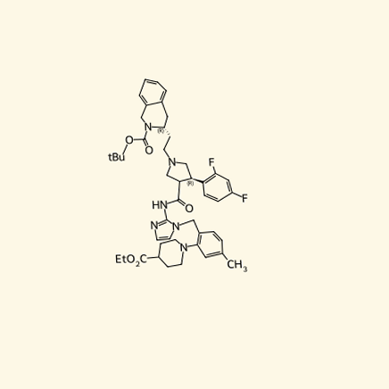 CCOC(=O)C1CCN(c2cc(C)ccc2Cn2ccnc2NC(=O)C2CN(CC[C@H]3Cc4ccccc4CN3C(=O)OC(C)(C)C)C[C@H]2c2ccc(F)cc2F)CC1